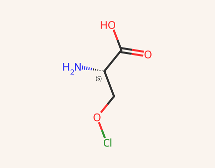 N[C@@H](COCl)C(=O)O